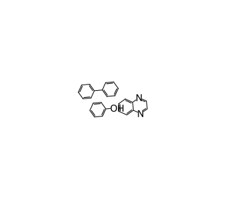 Oc1ccccc1.c1ccc(-c2ccccc2)cc1.c1ccc2nccnc2c1